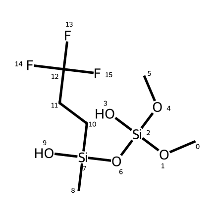 CO[Si](O)(OC)O[Si](C)(O)CCC(F)(F)F